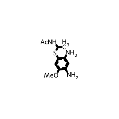 COc1cc(SC(C)NC(C)=O)c(N)cc1N